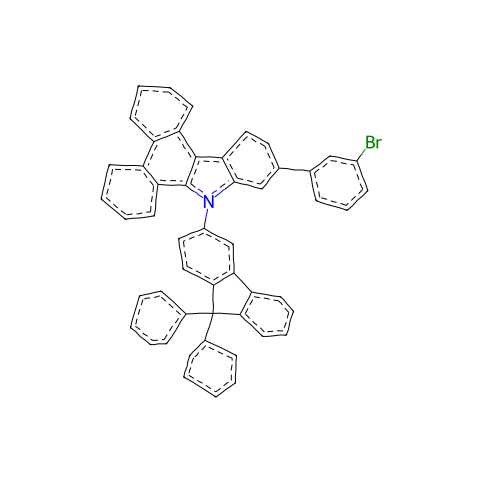 Brc1cccc(-c2ccc3c4c5ccccc5c5ccccc5c4n(-c4ccc5c(c4)-c4ccccc4C5(c4ccccc4)c4ccccc4)c3c2)c1